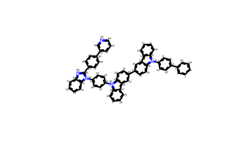 c1ccc(-c2ccc(-n3c4ccccc4c4cc(-c5ccc6c(c5)c5ccccc5n6-c5ccc(-n6c(-c7ccc(-c8cccnc8)cc7)nc7ccccc76)cc5)ccc43)cc2)cc1